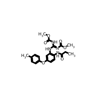 CCC(=O)Nc1ccc(Oc2ccc(C)cc2)cc1NC(=NC(=O)OC)NC(=O)OC